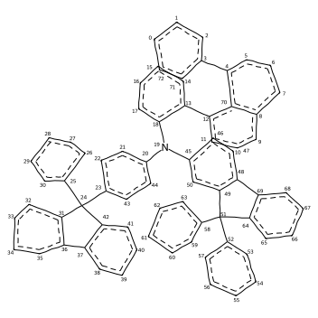 c1ccc(-c2cccc3cccc(-c4ccccc4N(c4ccc(C5(c6ccccc6)c6ccccc6-c6ccccc65)cc4)c4ccc5c(c4)C(c4ccccc4)(c4ccccc4)c4ccccc4-5)c23)cc1